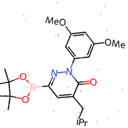 COc1cc(OC)cc(-n2nc(B3OC(C)(C)C(C)(C)O3)cc(CC(C)C)c2=O)c1